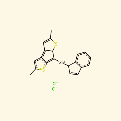 CC1=CC2=c3cc(C)sc3=[C]([Zr+2][CH]3C=Cc4ccccc43)C2S1.[Cl-].[Cl-]